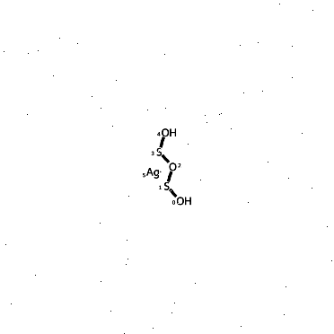 OSOSO.[Ag]